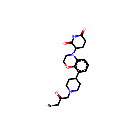 CC(C)(C)CC(=O)CN1CCC(c2cccc3c2OCCN3C2CCC(=O)NC2=O)CC1